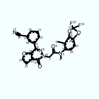 Cc1c(N(C)C(=O)Cn2nc(-c3cccc(C#N)c3)c3occc3c2=O)ccc2c1OC(F)(F)O2